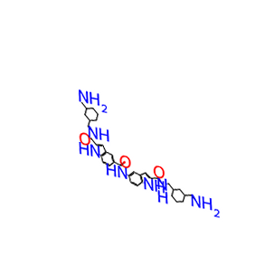 NCC1CCCC(CNC(=O)c2cc3cc(NC(=O)c4ccc5[nH]c(C(=O)NCC6CCCC(CN)C6)cc5c4)ccc3[nH]2)C1